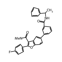 CNC(=O)c1c(-c2ccc(F)cc2)oc2ccc(-c3cccc(C(=O)NC(C)c4ccccc4)c3)cc12